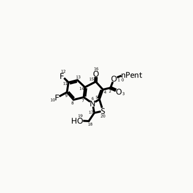 CCCCCOC(=O)c1c2n(c3cc(F)c(F)cc3c1=O)C(CO)S2